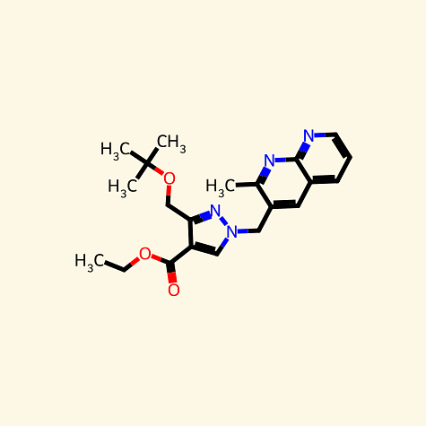 CCOC(=O)c1cn(Cc2cc3cccnc3nc2C)nc1COC(C)(C)C